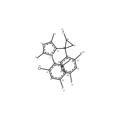 Cc1nc(C)n(-c2c(F)cc(F)cc2Cl)c1C1(c2ccc(F)cc2F)CC1F